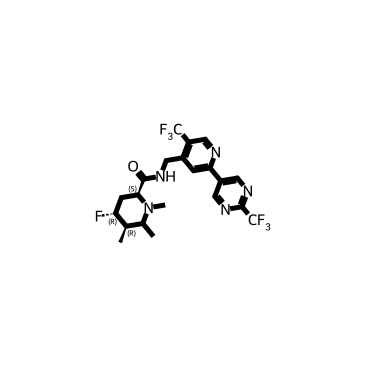 CC1[C@@H](C)[C@H](F)C[C@@H](C(=O)NCc2cc(-c3cnc(C(F)(F)F)nc3)ncc2C(F)(F)F)N1C